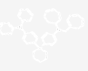 C1=CC=C(CN(C2=CCC=CC=C2)c2ccc(C3(c4ccc(N(c5ccccc5)c5ccccc5)cc4)CCCCC3)cc2)CC=C1